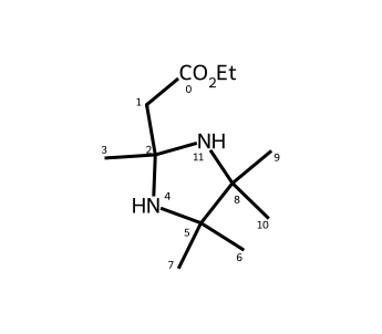 CCOC(=O)CC1(C)NC(C)(C)C(C)(C)N1